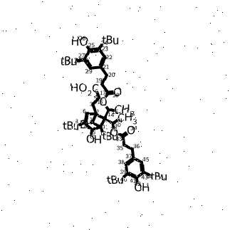 CCC1C2(CCC(=O)O)C=C(C(C)(C)C)C(O)C1(C(C)(C)C)C2(C(C)OC(=O)CCc1cc(C(C)(C)C)c(O)c(C(C)(C)C)c1)C(C)OC(=O)CCc1cc(C(C)(C)C)c(O)c(C(C)(C)C)c1